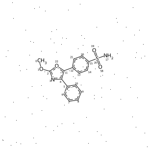 COc1nc(-c2ccccc2)c(-c2ccc(S(N)(=O)=O)cc2)o1